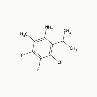 Cc1c(N)c(C(C)C)c(Cl)c(F)c1F